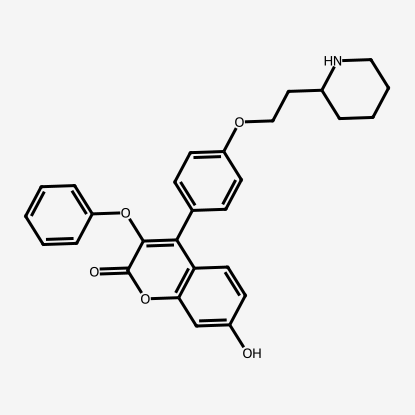 O=c1oc2cc(O)ccc2c(-c2ccc(OCCC3CCCCN3)cc2)c1Oc1ccccc1